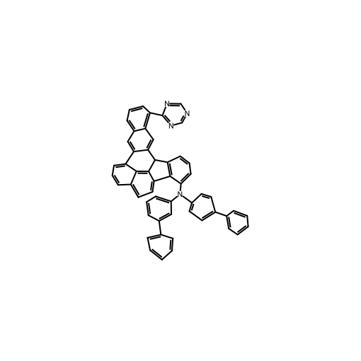 c1ccc(-c2ccc(N(c3cccc(-c4ccccc4)c3)c3cccc4c3-c3ccc5cccc6c5c3C4c3cc4c(-c5ncncn5)cccc4cc3-6)cc2)cc1